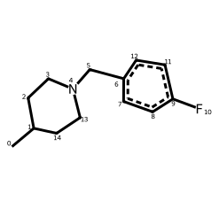 CC1CCN(Cc2ccc(F)cc2)CC1